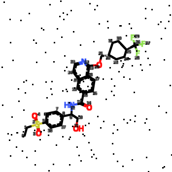 CCS(=O)(=O)c1ccc(C(CO)NC(=O)c2ccc3c(OC[C@H]4CC[C@H](C(F)(F)F)CC4)nccc3c2)cc1